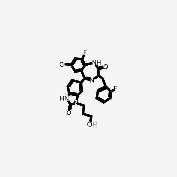 O=C1Nc2c(F)cc(Cl)cc2C(c2ccc3[nH]c(=O)n(CCCO)c3c2)=NC1Cc1ccccc1F